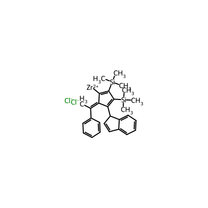 CC(=C1[C]([Zr+2])=C([Si](C)(C)C)C([Si](C)(C)C)=C1C1C=Cc2ccccc21)c1ccccc1.[Cl-].[Cl-]